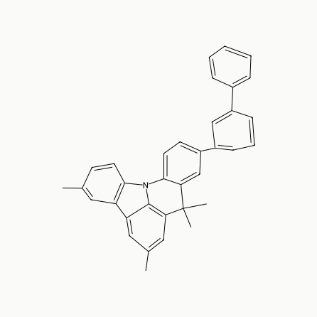 Cc1ccc2c(c1)c1cc(C)cc3c1n2-c1ccc(-c2cccc(-c4ccccc4)c2)cc1C3(C)C